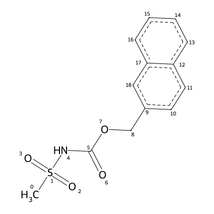 CS(=O)(=O)NC(=O)OCc1ccc2ccccc2c1